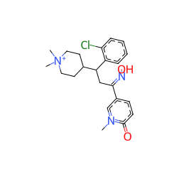 Cn1cc(/C(CC(c2ccccc2Cl)C2CC[N+](C)(C)CC2)=N/O)ccc1=O